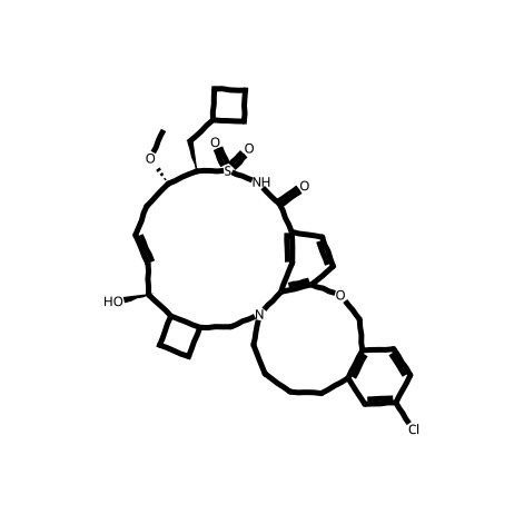 CO[C@H]1C/C=C/[C@H](O)C2CCC2CN2CCCCc3cc(Cl)ccc3COc3ccc(cc32)C(=O)NS(=O)(=O)[C@@H]1CC1CCC1